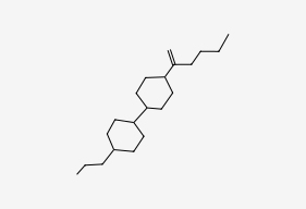 C=C(CCCC)C1CCC(C2CCC(CCC)CC2)CC1